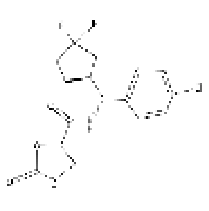 O=C1NCC(C(=O)N[C@@H](c2ccc(Cl)cc2)[C@H]2CCC(F)(F)C2)O1